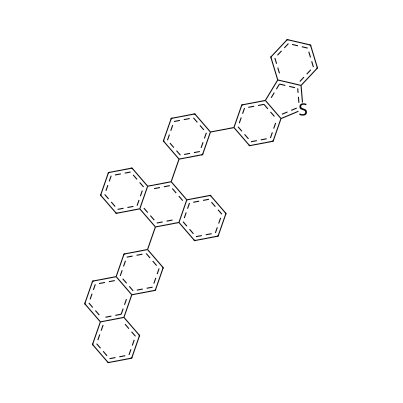 c1cc(-c2ccc3sc4ccccc4c3c2)cc(-c2c3ccccc3c(-c3ccc4c(ccc5ccccc54)c3)c3ccccc23)c1